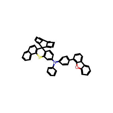 c1ccc(N(c2ccc(-c3cccc4c3oc3ccccc34)cc2)c2ccc3c(c2)Sc2c(ccc4ccccc24)C32c3ccccc3-c3ccccc32)cc1